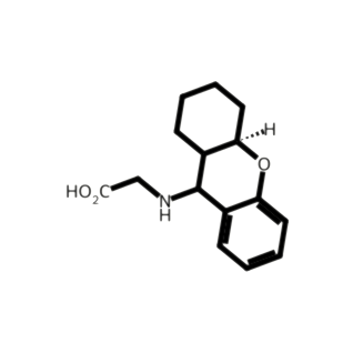 O=C(O)CNC1c2ccccc2O[C@@H]2CCCCC12